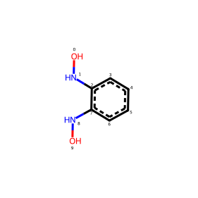 ONc1ccccc1NO